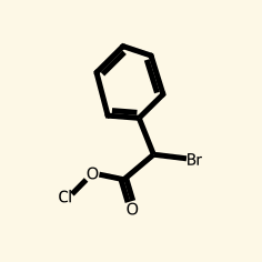 O=C(OCl)C(Br)c1ccccc1